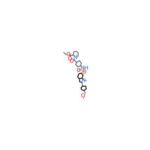 CCOC(=O)C1CCCCN1C(=O)C1CCC(NS(=O)(=O)c2ccc3cc(-c4ccc(COC)cc4)n(C)c3c2)CC1